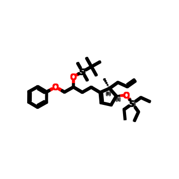 C=CC[C@]1(C)C(CCC(COc2ccccc2)O[Si](C)(C)C(C)(C)C)=CC[C@@H]1O[Si](CC)(CC)CC